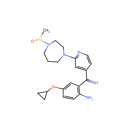 C[S+]([O-])N1CCCN(c2cc(C(=N)c3cc(OC4CC4)ccc3N)ccn2)CC1